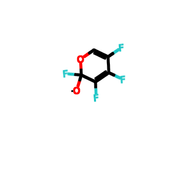 [O]C1(F)OC=C(F)C(F)=C1F